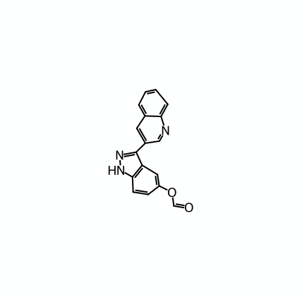 O=COc1ccc2[nH]nc(-c3cnc4ccccc4c3)c2c1